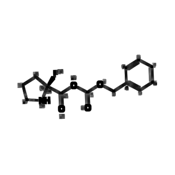 O=C(OCc1ccccc1)OC(=O)[C@@]1(F)CCCN1